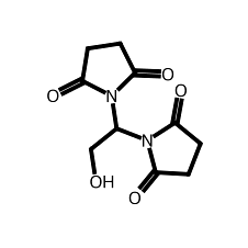 O=C1CCC(=O)N1C(CO)N1C(=O)CCC1=O